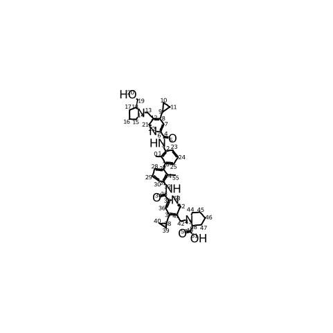 Cc1c(NC(=O)c2cc(C3CC3)c(CN3CCC[C@H]3CO)cn2)cccc1-c1cccc(NC(=O)c2cc(C3CC3)c(CN3CCCC[C@H]3C(=O)O)cn2)c1C